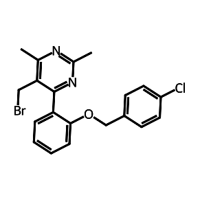 Cc1nc(C)c(CBr)c(-c2ccccc2OCc2ccc(Cl)cc2)n1